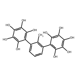 Cc1c(-c2c(O)c(O)c(O)c(O)c2O)cccc1-c1c(O)c(O)c(O)c(O)c1O